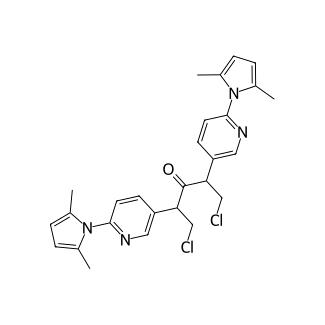 Cc1ccc(C)n1-c1ccc(C(CCl)C(=O)C(CCl)c2ccc(-n3c(C)ccc3C)nc2)cn1